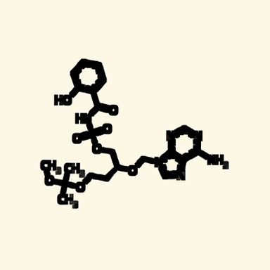 COC(C)(C)OCC[C@@H](COS(=O)(=O)NC(=O)c1ccccc1O)OCn1cnc2c(N)ncnc21